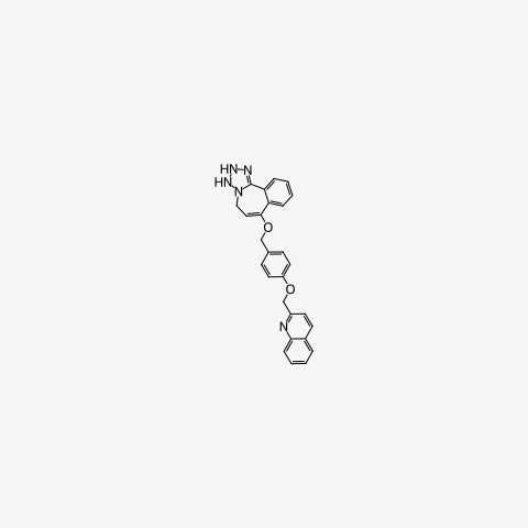 C1=C(OCc2ccc(OCc3ccc4ccccc4n3)cc2)c2ccccc2C2=NNNN2C1